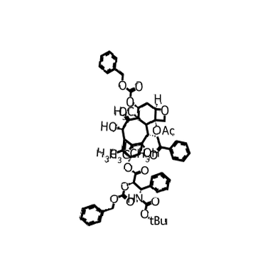 CC(=O)O[C@@]12CO[C@@H]1C[C@H](OC(=O)OCc1ccccc1)[C@@]1(C)C(=O)[C@H](O)C3=C(C)[C@@H](OC(=O)[C@H](OC(=O)OCc4ccccc4)[C@@H](NC(=O)OC(C)(C)C)c4ccccc4)C[C@@](O)([C@@H](CC(=O)c4ccccc4)C12)C3(C)C